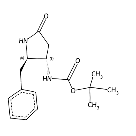 CC(C)(C)OC(=O)N[C@H]1CC(=O)N[C@@H]1Cc1ccccc1